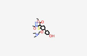 CCOC(=O)c1c(NC(C)=O)sc2c(OCCN(CC)CC)c(-c3ccc(O)cc3)ccc12